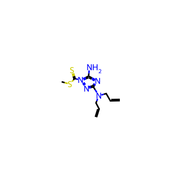 C=CCN(CC=C)c1nc(N)n(C(=S)SC)n1